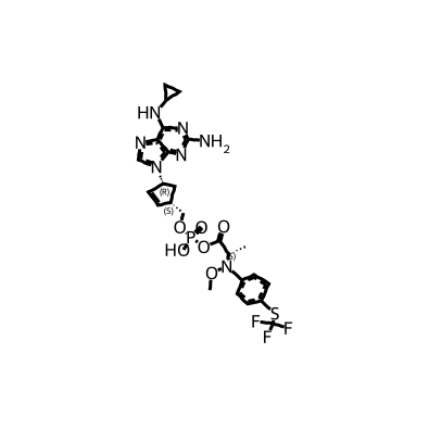 CON(c1ccc(SC(F)(F)F)cc1)[C@@H](C)C(=O)OP(=O)(O)OC[C@@H]1C=C[C@H](n2cnc3c(NC4CC4)nc(N)nc32)C1